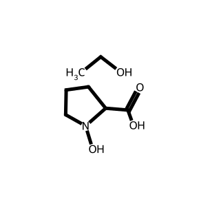 CCO.O=C(O)C1CCCN1O